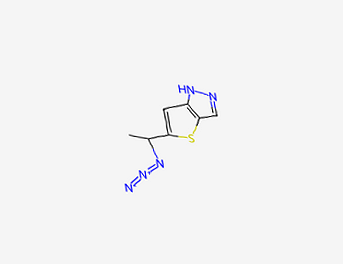 CC(N=[N+]=[N-])c1cc2[nH]ncc2s1